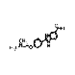 CCC(=O)c1ccc2[nH]c(-c3ccc(OCCN(C)C)cc3)nc2c1